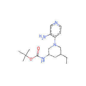 CCC1CC(NC(=O)OC(C)(C)C)CN(c2ccncc2N)C1